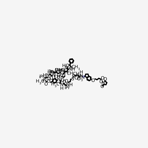 CC[C@H](C)[C@@H]([C@@H](CC(=O)N1CCC[C@H]1[C@H](OC)[C@@H](C)C(=O)N[C@H](C)[C@@H](O)c1ccccc1)OC)N(C)C(=O)[C@@H](NC(=O)[C@H](C(C)C)N(C)C(=O)OCc1ccc(NC(=O)[C@H](C)NC(=O)[C@@H](NC(=O)CCSSC(C)(C)CC(=O)N/N=C2\CCc3cc(OCCCC(=O)ON4C(=O)CCC4=O)ccc32)C(C)C)cc1)C(C)C